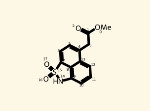 COC(=O)Cc1ccc2c3c(cccc13)NS2(=O)=O